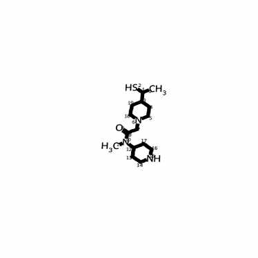 CC(S)C1CCN(CC(=O)N(C)C2CCNCC2)CC1